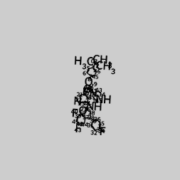 CC(C)(C)c1ccc(OCC(=O)N2CCNC[C@@H]2c2c(F)cncc2NC(=O)C[C@@H](c2ccc(F)cc2)c2cc(F)cc(F)c2)cc1